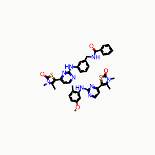 COc1ccc(C)c(Nc2nccc(-c3sc(=O)n(C)c3C)n2)c1.Cc1c(-c2ccnc(Nc3cccc(CNC(=O)c4ccccc4)c3)n2)sc(=O)n1C